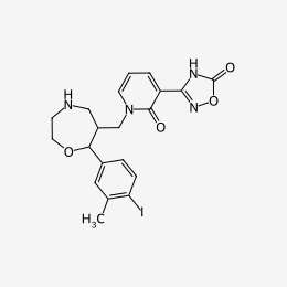 Cc1cc(C2OCCNCC2Cn2cccc(-c3noc(=O)[nH]3)c2=O)ccc1I